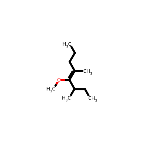 CCC/C(C)=C(\OC)C(C)CC